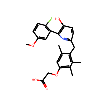 COc1ccc(F)c(-c2nc(Cc3c(C)cc(OCC(=O)O)c(C)c3C)ccc2O)c1